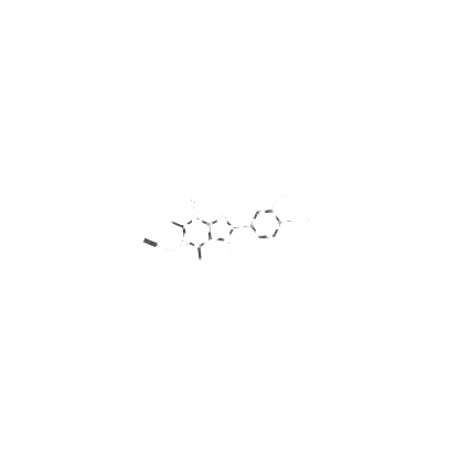 C#CCn1c(=O)c2c(nc(-c3ccc(OC)c(OC)c3)n2C)n(N)c1=O